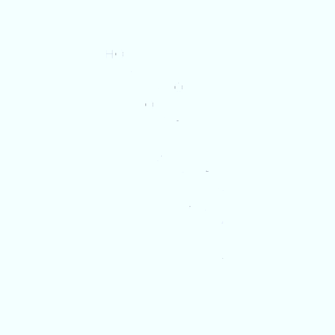 CCCCCC1CCC(C2CCC(OC(=O)C(C)CO)CC2)CC1